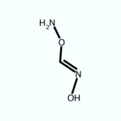 NOC=NO